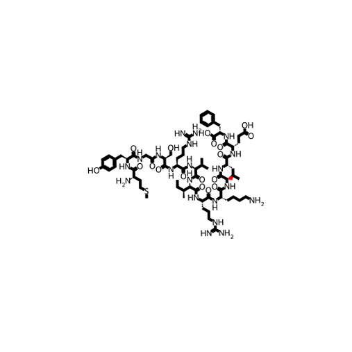 CC[C@H](C)[C@H](NC(=O)[C@@H](NC(=O)[C@H](CCCNC(=N)N)NC(=O)[C@H](CO)NC(=O)CNC(=O)[C@H](Cc1ccc(O)cc1)NC(=O)[C@@H](N)CCSC)C(C)C)C(=O)N[C@@H](CCCNC(=N)N)C(=O)N[C@@H](CCCCN)C(=O)N[C@@H](C)C(=O)N[C@@H](CC(C)C)C(=O)N[C@@H](CCC(=O)O)C(=O)N[C@@H](Cc1ccccc1)C(=O)O